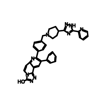 Oc1nnc2c3cc(-c4ccccc4)c(-c4ccc(CN5CCC(c6n[nH]c(-c7ccccn7)n6)CC5)cc4)nc3ccn12